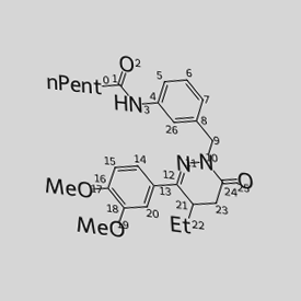 CCCCCC(=O)Nc1cccc(CN2N=C(c3ccc(OC)c(OC)c3)C(CC)CC2=O)c1